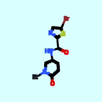 CCn1cc(NC(=O)c2ncc(Br)s2)ccc1=O